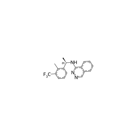 Cc1c([C@@H](C)Nc2nncc3ccccc23)cccc1C(F)(F)F